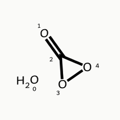 O.O=C1OO1